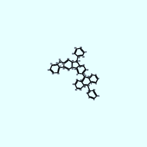 c1ccc(-c2c3ccccc3c(-c3ccc4c(c3)c3cc5c(cc3n4-c3ccccc3)oc3ccccc35)c3ccccc23)cc1